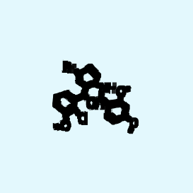 COc1ccc(CNc2ccc(Br)cc2C(O)c2cccc(OC)c2Cl)c(OC)c1